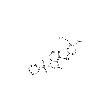 COc1ccc(Nc2ncnc3c2c(I)cn3S(=O)(=O)c2ccccc2)cc1CO